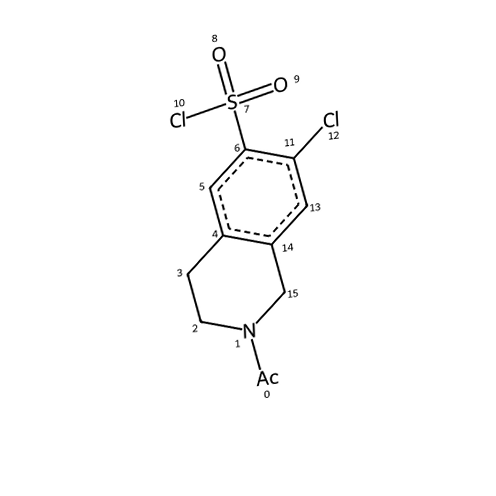 CC(=O)N1CCc2cc(S(=O)(=O)Cl)c(Cl)cc2C1